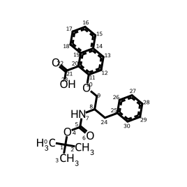 CC(C)(C)OC(=O)NC(COc1ccc2ccccc2c1C(=O)O)Cc1ccccc1